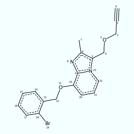 C#CCOCc1c(C)nc2c(OCc3ccccc3Br)cccn12